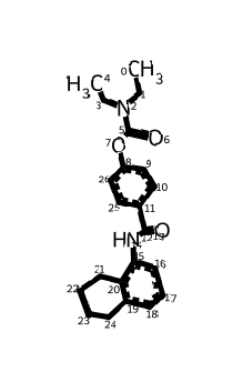 CCN(CC)C(=O)Oc1ccc(C(=O)Nc2cccc3c2CCCC3)cc1